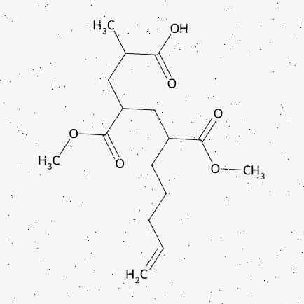 C=CCCCC(CC(CC(C)C(=O)O)C(=O)OC)C(=O)OC